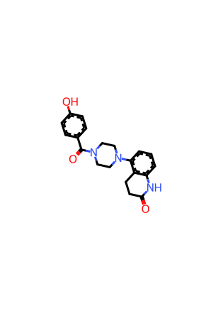 O=C1CCc2c(cccc2N2CCN(C(=O)c3ccc(O)cc3)CC2)N1